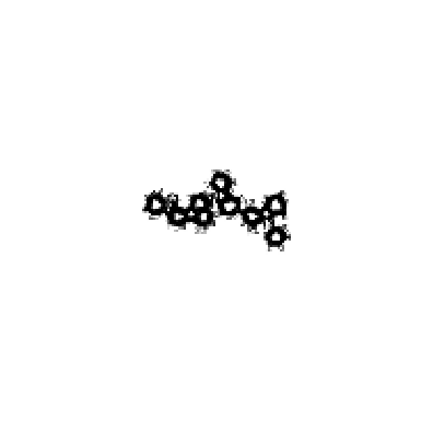 c1ccc(-n2c3ccccc3c3cc(-c4ccc5c(c4)c4ccccc4n5-c4ccc5c6c(cccc46)-c4ccc6c(oc7ccccc76)c4-5)ccc32)cc1